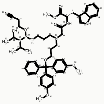 COC(=O)[C@H](Cc1c[nH]c2ccccc12)NC(=O)CN(CCCOP(OCCC#N)N(C(C)C)C(C)C)CCCOC(c1ccccc1)(c1ccc(OC)cc1)c1ccc(OC)cc1